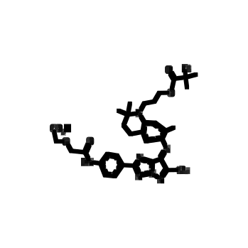 CCC(C)(C)C(=O)OCCCN1c2cc(C)c(/N=C3/C(C(C)(C)C)=Nn4nc(-c5ccc(NC(=O)COCC(=O)O)cc5)nc43)cc2CCC1(C)C